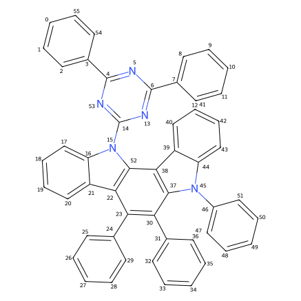 c1ccc(-c2nc(-c3ccccc3)nc(-n3c4ccccc4c4c(-c5ccccc5)c(-c5ccccc5)c5c(c6ccccc6n5-c5ccccc5)c43)n2)cc1